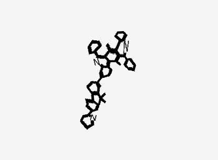 Cc1c2c(-c3ccccc3)nc3cc(-c4ccc5c(c4)C(C)(C)c4cc(-c6ccccn6)ccc4-5)ccc3c2c(C)c2c(-c3ccccc3)nc3ccccc3c12